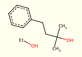 CC(C)(O)CCc1ccccc1.CCO